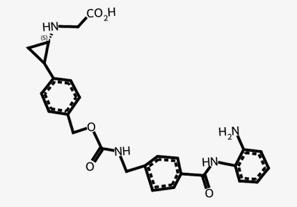 Nc1ccccc1NC(=O)c1ccc(CNC(=O)OCc2ccc(C3C[C@@H]3NCC(=O)O)cc2)cc1